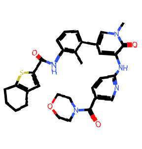 Cc1c(NC(=O)c2cc3c(s2)CCCC3)cccc1-c1cc(Nc2ccc(C(=O)N3CCOCC3)cn2)c(=O)n(C)c1